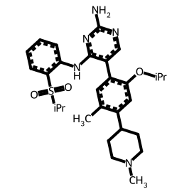 Cc1cc(-c2cnc(N)nc2Nc2ccccc2S(=O)(=O)C(C)C)c(OC(C)C)cc1C1CCN(C)CC1